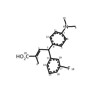 C/C(=C\C(c1ccc(N(C)C)cc1)c1cccc(F)c1)C(=O)O